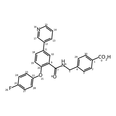 O=C(O)c1ccc(CNC(=O)c2cc(-c3cccnc3)ccc2Oc2ccc(F)cc2)cc1